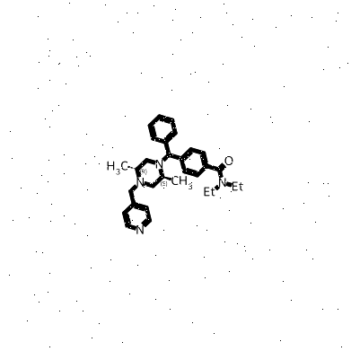 CCN(CC)C(=O)c1ccc(C(c2ccccc2)N2C[C@@H](C)N(Cc3ccncc3)C[C@@H]2C)cc1